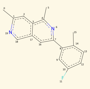 Cc1cc2c(C)nc(-c3cc(F)ccc3C)cc2cn1